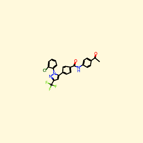 CC(=O)c1ccc(NC(=O)c2ccc(-c3cc(C(F)(F)F)nn3-c3ccccc3Cl)cc2)cc1